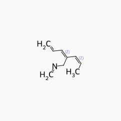 C=C/C=C(/C=C\C)CN=C